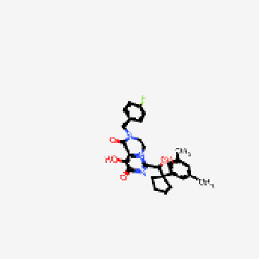 Cc1cc(C)cc(C2(C(O)c3nc(=O)c(O)c4n3CCN(Cc3ccc(F)cc3)C4=O)CCCC2)c1